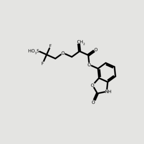 C=C(COCC(F)(F)S(=O)(=O)O)C(=O)Oc1cccc2[nH]c(=O)oc12